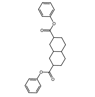 O=C(Oc1ccccc1)C1CCC2CCC(C(=O)Oc3ccccc3)CC2C1